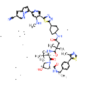 CNc1cc(-c2ccc3cc(C#N)cnn23)ncc1-c1nnc(C2CCC(NC(=O)CC(C)(C)C(=O)N[C@H](C(=O)N3C[C@H](O)C[C@H]3C(=O)N[C@@H](C)c3ccc(-c4scnc4C)cc3)C(C)(C)C)CC2)s1